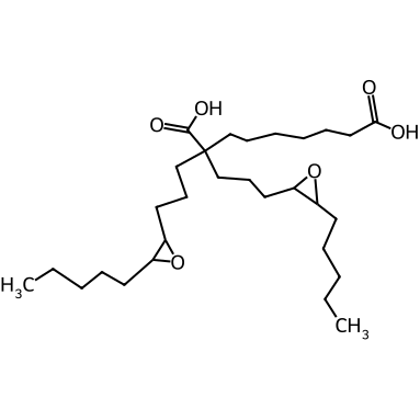 CCCCCC1OC1CCCC(CCCCCCC(=O)O)(CCCC1OC1CCCCC)C(=O)O